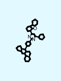 c1ccc(-c2cc(-c3cccc4c3oc3ccccc34)nc(-c3ccc(-c4c5ccccc5cc5c4ccc4ccccc45)cc3)n2)cc1